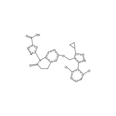 O=C(O)c1cnc(N2C(=O)CCc3cc(OCc4c(-c5c(Cl)cccc5Cl)noc4C4CC4)ccc32)s1